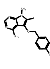 COc1ccc(COc2c(I)n(C)c3ncnc(N)c23)cc1